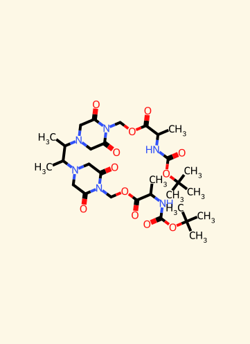 CC(NC(=O)OC(C)(C)C)C(=O)OCN1C(=O)CN(C(C)C(C)N2CC(=O)N(COC(=O)C(C)NC(=O)OC(C)(C)C)C(=O)C2)CC1=O